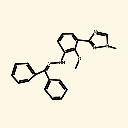 COc1c(NN=C(c2ccccc2)c2ccccc2)cccc1-c1ncn(C)n1